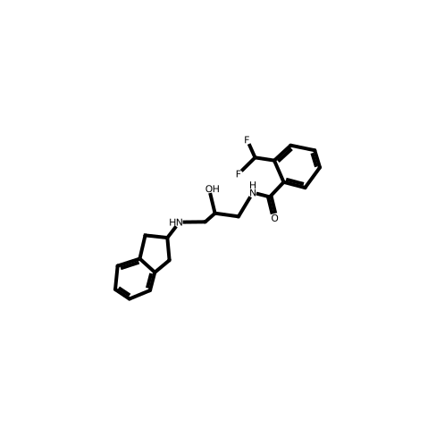 O=C(NCC(O)CNC1Cc2ccccc2C1)c1ccccc1C(F)F